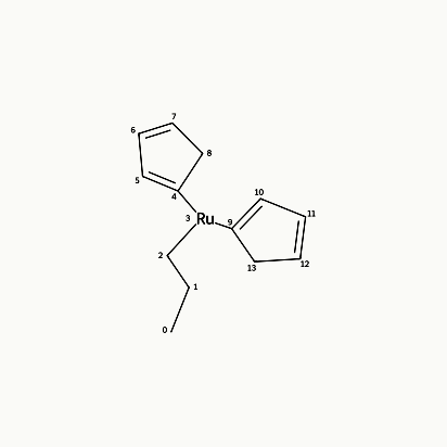 CC[CH2][Ru]([C]1=CC=CC1)[C]1=CC=CC1